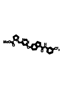 COC(=O)[C@@H]1CCCN1Cc1cc(Oc2ccc3c(ccn3C(=O)Nc3cccc(C(F)(F)F)c3)c2)ncn1